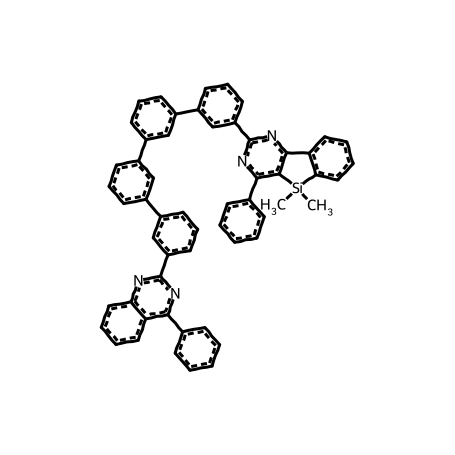 C[Si]1(C)c2ccccc2-c2nc(-c3cccc(-c4cccc(-c5cccc(-c6cccc(-c7nc(-c8ccccc8)c8ccccc8n7)c6)c5)c4)c3)nc(-c3ccccc3)c21